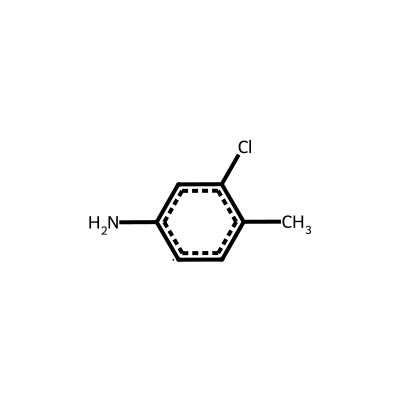 Cc1c[c]c(N)cc1Cl